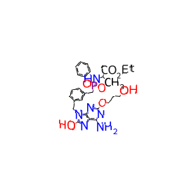 CCOC(=O)C(C)NP(=O)(Cc1cccc(Cn2c(O)nc3c(N)nc(OCCCO)nc32)c1)Oc1ccccc1